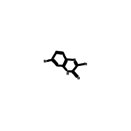 CCc1nc2ccc(Br)cc2[nH]c1=O